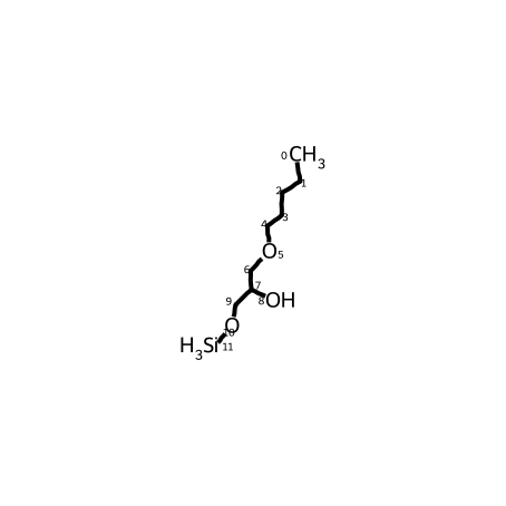 CCCCCOCC(O)CO[SiH3]